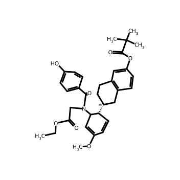 CCOC(=O)CN(C(=O)c1ccc(O)cc1)C1C=C(OC)C=CC1[C@@H]1CCc2cc(OC(=O)C(C)(C)C)ccc2C1